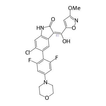 COc1cc(/C(O)=C2\C(=O)Nc3cc(Cl)c(-c4c(F)cc(N5CCOCC5)cc4F)cc32)on1